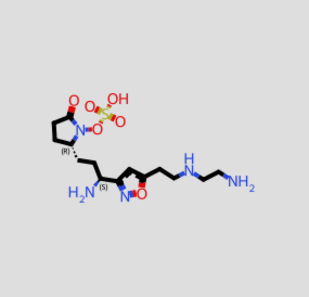 NCCNCCc1cc([C@@H](N)CC[C@@H]2CCC(=O)N2OS(=O)(=O)O)no1